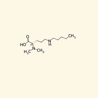 CCCCCNCCC[C@@H](C(=O)O)N(C)C